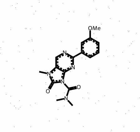 COc1cccc(-c2ncc3c(n2)n(C(=O)N(C)C)c(=O)n3C)c1